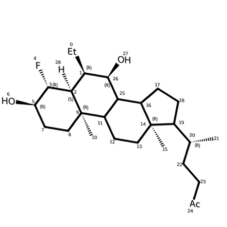 CC[C@@H]1[C@@H]2[C@@H](F)[C@H](O)CC[C@]2(C)C2CC[C@@]3(C)C(CCC3[C@H](C)CCC(C)=O)C2[C@@H]1O